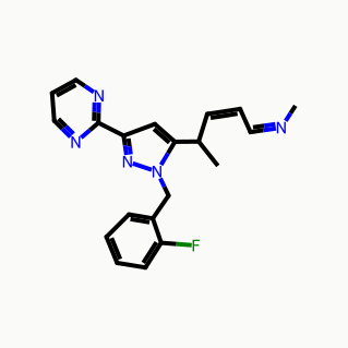 C/N=C\C=C/C(C)c1cc(-c2ncccn2)nn1Cc1ccccc1F